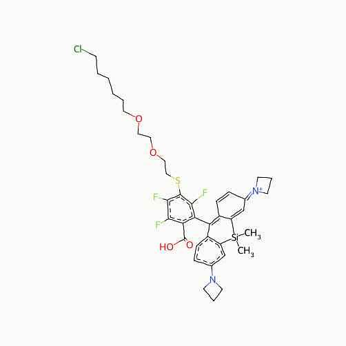 C[Si]1(C)C2=CC(=[N+]3CCC3)C=CC2=C(c2c(F)c(SCCOCCOCCCCCCCl)c(F)c(F)c2C(=O)O)c2ccc(N3CCC3)cc21